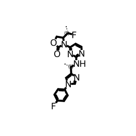 C[C@H](Nc1nccc(N2C(=O)OCC2[C@H](C)F)n1)c1cn(-c2ccc(F)cc2)cn1